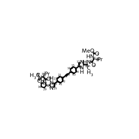 COC(=O)N[C@H](C(=O)N[C@@H](C)c1ncc(-c2ccc(C#Cc3ccc(-c4cnc([C@@H]5CCCN5C(=O)[C@H](C(C)C)N(C)C)[nH]4)cc3)cc2)[nH]1)C(C)C